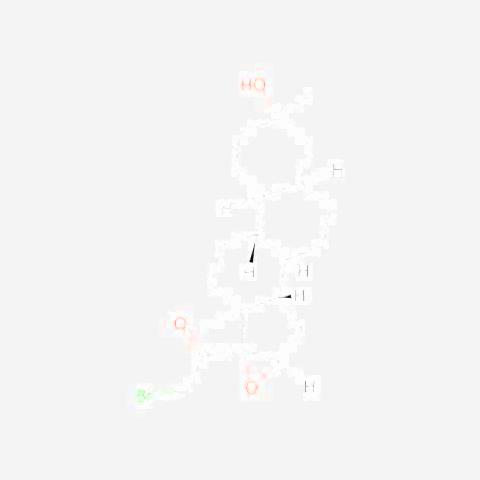 C[C@@]1(O)CC[C@H]2[C@H](CC[C@@H]3[C@@H]2CC[C@@]2(C)[C@H]3C[C@H]3O[C@]32C(=O)CBr)C1